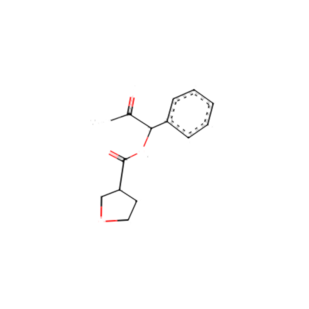 COC(=O)C(OC(=O)C1CCOC1)c1ccccc1